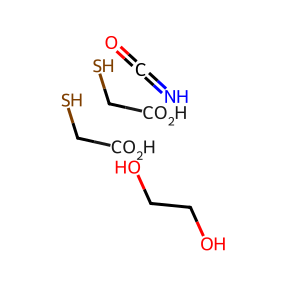 N=C=O.O=C(O)CS.O=C(O)CS.OCCO